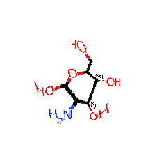 NC1C(O)OC(CO)[C@H](O)[C@H]1O